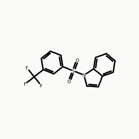 O=S(=O)(c1cccc(C(F)(F)F)c1)n1ccc2ccccc21